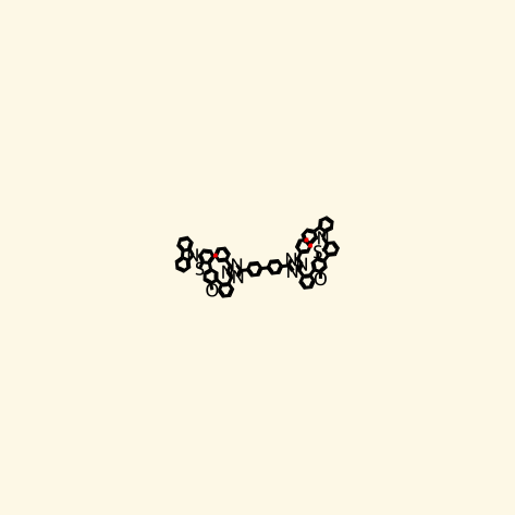 c1ccc(-c2nc(-c3ccc(-c4ccc(-c5nc(-c6ccccc6)nc(-c6cccc7oc8cc9sc%10c(-n%11c%12ccccc%12c%12ccccc%12%11)cccc%10c9cc8c67)n5)cc4)cc3)nc(-c3cccc4oc5cc6c(cc5c34)sc3c(-n4c5ccccc5c5ccccc54)cccc36)n2)cc1